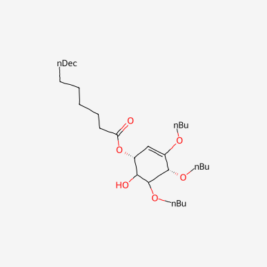 CCCCCCCCCCCCCCCC(=O)O[C@@H]1C=C(OCCCC)[C@H](OCCCC)C(OCCCC)C1O